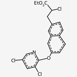 CCOC(=O)C(Cl)Cc1ccc2ccc(Oc3ncc(Cl)cc3Cl)cc2c1